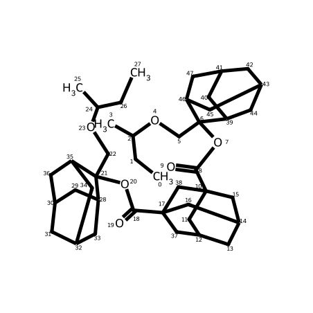 CCC(C)OCC1(OC(=O)C23CC4CC(C2)CC(C(=O)OC2(COC(C)CC)C5CC6CC(C5)CC2C6)(C4)C3)C2CC3CC(C2)CC1C3